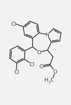 COC(=O)CC1OC(c2cccc(Cl)c2Cl)c2cc(Cl)ccc2-n2cccc21